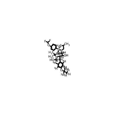 [2H]c1c([2H])c(C([2H])([2H])[C@]([2H])(N(C(=O)O)C(C)(C)C)[C@]([2H])(O)C([2H])([2H])N(CC(C)C)S(=O)(=O)c2ccc(OC(F)F)cc2)c([2H])c([2H])c1OC([2H])(C([2H])[2H])C([2H])([2H])[2H]